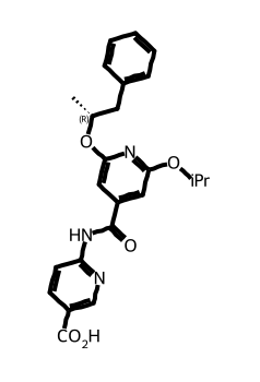 CC(C)Oc1cc(C(=O)Nc2ccc(C(=O)O)cn2)cc(O[C@H](C)Cc2ccccc2)n1